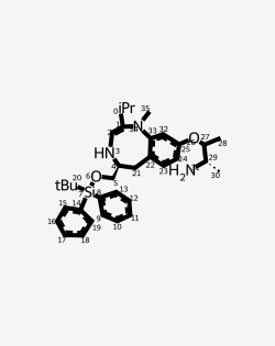 CC(C)C1=CN[C@H](CO[Si](c2ccccc2)(c2ccccc2)C(C)(C)C)Cc2ccc(OC(C)[C@H](C)N)cc2N1C